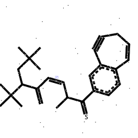 C=C(/C=C\C(C)C(=S)c1ccc2c(c1)C#CCC=C2)C(CC(C)(C)C)C(C)(C)C